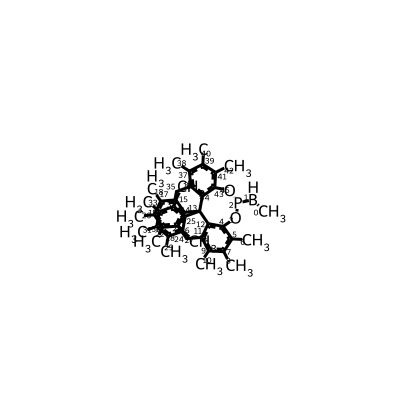 CBP1Oc2c(C)c(C)c(C)c3c2C2(c4c(C)c(C)c(C)c(C)c4C3)c3c(C)c(C)c(C)c(C)c3Cc3c(C)c(C)c(C)c(c32)O1